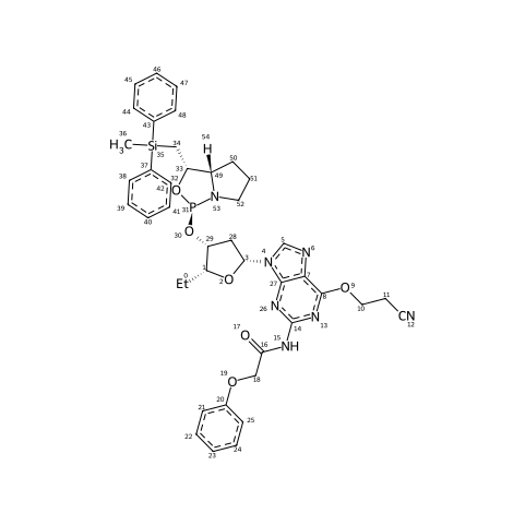 CC[C@H]1O[C@@H](n2cnc3c(OCCC#N)nc(NC(=O)COc4ccccc4)nc32)C[C@H]1O[P@@]1O[C@H](C[Si](C)(c2ccccc2)c2ccccc2)[C@@H]2CCCN21